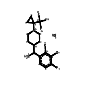 Cl.NC(c1ccc(F)c(Cl)c1F)C1CCN(C2(C(F)(F)F)CC2)CC1